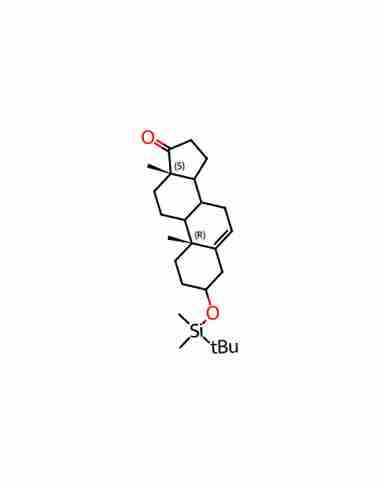 CC(C)(C)[Si](C)(C)OC1CC[C@@]2(C)C(=CCC3C2CC[C@]2(C)C(=O)CCC32)C1